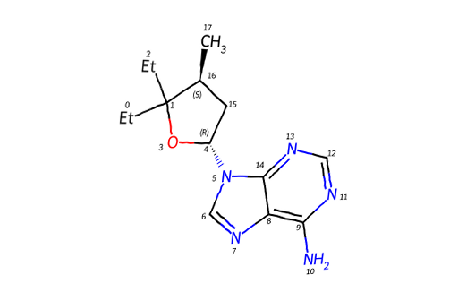 CCC1(CC)O[C@@H](n2cnc3c(N)ncnc32)C[C@@H]1C